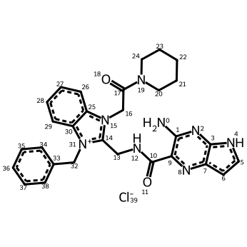 Nc1nc2[nH]ccc2nc1C(=O)NCc1n(CC(=O)N2CCCCC2)c2ccccc2[n+]1Cc1ccccc1.[Cl-]